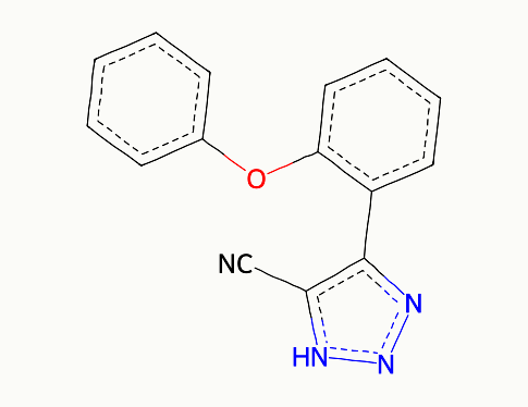 N#Cc1[nH]nnc1-c1ccccc1Oc1ccccc1